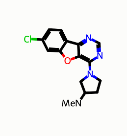 CNC1CCN(c2ncnc3c2oc2cc(Cl)ccc23)C1